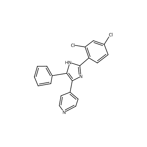 Clc1ccc(-c2nc(-c3ccncc3)c(-c3ccccc3)[nH]2)c(Cl)c1